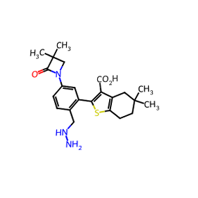 CC1(C)CCc2sc(-c3cc(N4CC(C)(C)C4=O)ccc3CNN)c(C(=O)O)c2C1